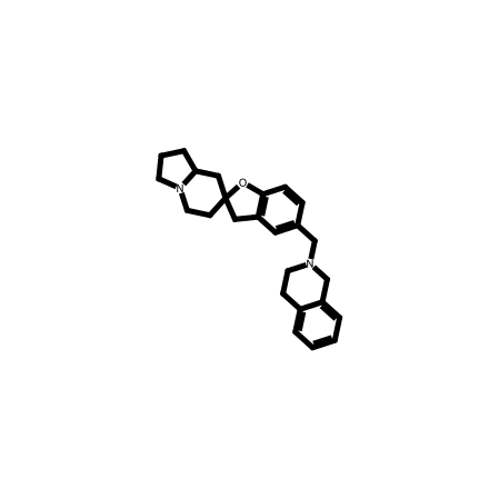 c1ccc2c(c1)CCN(Cc1ccc3c(c1)CC1(CCN4CCCC4C1)O3)C2